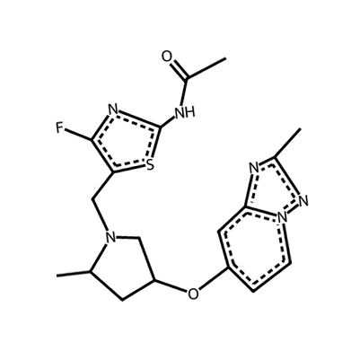 CC(=O)Nc1nc(F)c(CN2CC(Oc3ccn4nc(C)nc4c3)CC2C)s1